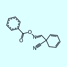 N#CC1(C=NOC(=O)c2ccccc2)C=CC=CC1